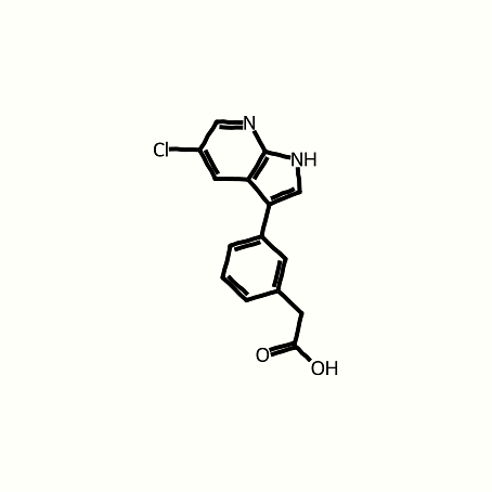 O=C(O)Cc1cccc(-c2c[nH]c3ncc(Cl)cc23)c1